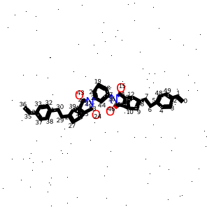 C=Cc1ccc(CCC2=CC3CC2C2C(=O)N(c4cccc(N5C(=O)C6C7C=C(CCc8ccc(C=C)cc8)C(C7)C6C5=O)c4)C(=O)C32)cc1